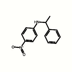 CC(Nc1ccc([N+](=O)[O-])cc1)c1ccccc1